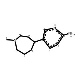 CN1CCCC(c2ccc(N)nc2)CC1